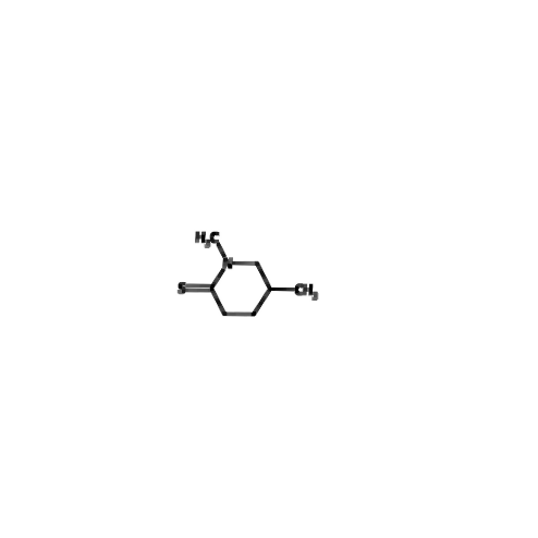 CC1CCC(=S)N(C)C1